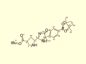 CC(C)(C)OC(=O)C1CNC(C2=NC(=O)C(C)(c3ccc(B4OC(C)(C)C(C)(C)O4)cc3)N2)C1